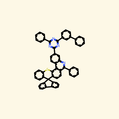 c1ccc(-c2cccc(-c3nc(-c4ccccc4)nc(-c4ccc5c(c4)nc(-c4ccccc4)c4ccc6c(c45)Sc4ccccc4C64c5ccccc5-c5ccccc54)n3)c2)cc1